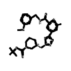 COc1cccc(CNC(=O)c2cc(-c3nnn(C[C@H]4CCCN(C(=O)OC(C)(C)C)C4)n3)cc(C)n2)c1